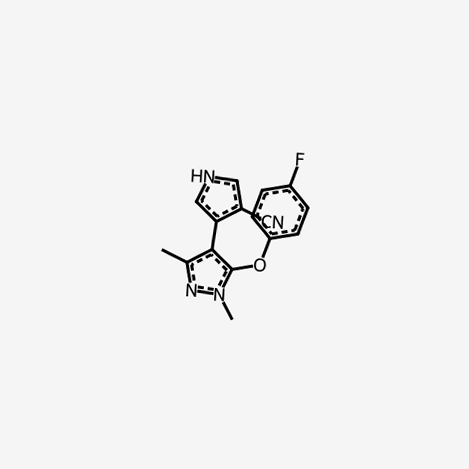 Cc1nn(C)c(Oc2ccc(F)cc2)c1-c1c[nH]cc1C#N